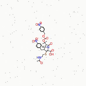 CC(=O)NCCSC1=C(C(=O)O)N2C(=O)[C@H](C(C)(C)OC(=O)OCc3ccc([N+](=O)[O-])cc3)[C@@H]2C1Cc1ccc([N+](=O)[O-])cc1